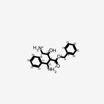 NCC(O)C(C(=O)OCc1ccccc1)C(N)c1ccccc1